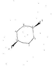 I[C@H]1CC[C@@H](I)CC1